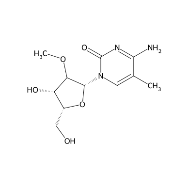 COC1[C@@H](O)[C@@H](CO)O[C@H]1n1cc(C)c(N)nc1=O